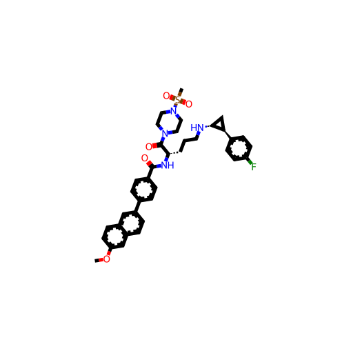 COc1ccc2cc(-c3ccc(C(=O)N[C@@H](CCCN[C@@H]4C[C@H]4c4ccc(F)cc4)C(=O)N4CCN(S(C)(=O)=O)CC4)cc3)ccc2c1